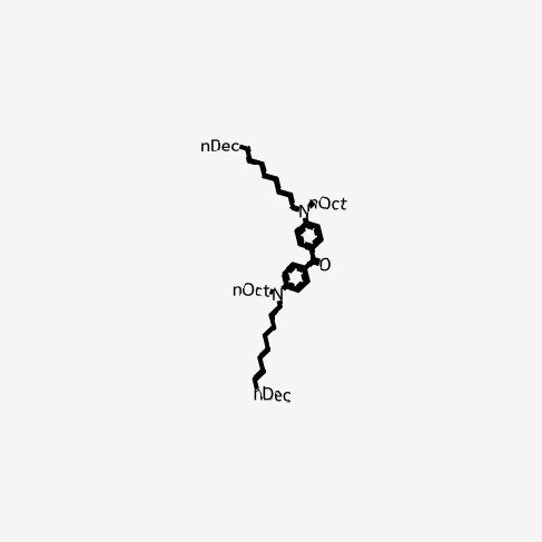 CCCCCCCCCCCCCCCCCCN(CCCCCCCC)c1ccc(C(=O)c2ccc(N(CCCCCCCC)CCCCCCCCCCCCCCCCCC)cc2)cc1